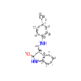 O=C1Nc2ccccc2C1=CNc1ccc(C(F)(F)F)cc1